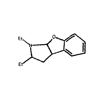 CCC1CC2c3ccccc3OC2N1CC